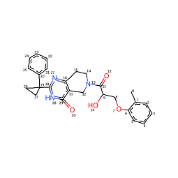 Cc1ccccc1OCC(O)C(=O)N1CCc2nc(C3(c4ccccc4)CC3)[nH]c(=O)c2C1